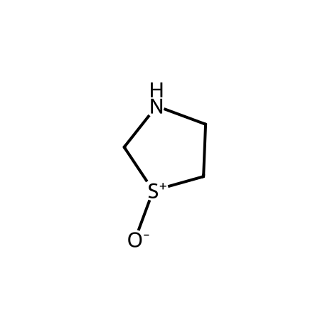 [O-][S+]1CCNC1